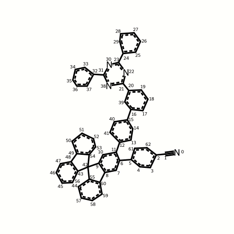 N#Cc1ccc(-c2cc3c(cc2-c2ccc(-c4cccc(-c5nc(-c6ccccc6)nc(-c6ccccc6)n5)c4)cc2)C2(c4ccccc4-c4ccccc42)c2ccccc2-3)cc1